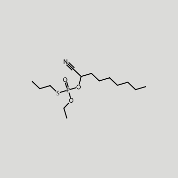 CCCCCCCC(C#N)OP(=O)(OCC)SCCC